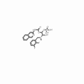 CCCC(C(OC(=O)Nc1cc2ccccc2cn1)OP(=O)(O)O)N(C)Cc1cccc(F)c1F